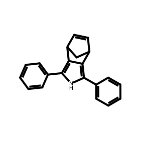 C1=CC2CC1c1c(-c3ccccc3)[nH]c(-c3ccccc3)c12